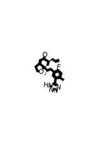 C=CC[C@H]1C[C@]2([C@@H](C)Cc3cc(-c4nnn[nH]4)c(C)cc3F)OCCC2=CC1=O